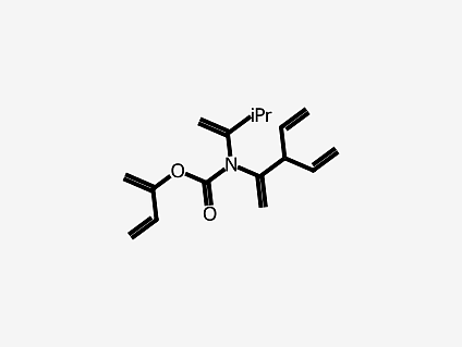 C=CC(=C)OC(=O)N(C(=C)C(C)C)C(=C)C(C=C)C=C